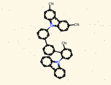 N#Cc1ccc2c(c1)c1cc(C#N)ccc1n2-c1cccc(-c2cccc(-c3c(C#N)cccc3-n3c4ccccc4c4ccccc43)c2)c1